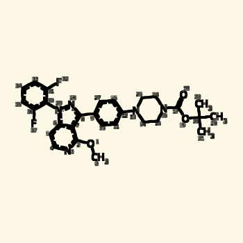 COc1nccc2c1c(-c1ccc(N3CCN(C(=O)OC(C)(C)C)CC3)cc1)nn2-c1c(F)cccc1F